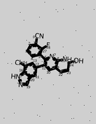 N#Cc1cccc(-c2nc3c(cc2-c2cc(Cl)c4[nH]ncc4c2)C=CC(O)N3)c1F